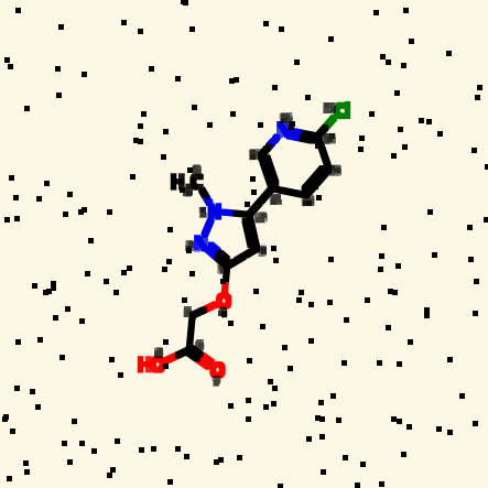 Cn1nc(OCC(=O)O)cc1-c1ccc(Cl)nc1